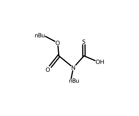 CCCCOC(=O)N(CCCC)C(O)=S